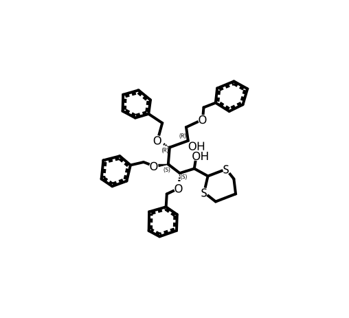 OC(C1SCCCS1)[C@H](OCc1ccccc1)[C@@H](OCc1ccccc1)[C@H](OCc1ccccc1)[C@H](O)COCc1ccccc1